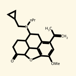 C=C(C)c1cc(OC)c2c3c1CC(N(CCC)CC1CC1)C1CCC(=O)C(O2)C31